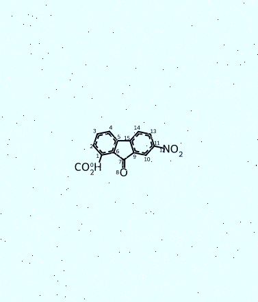 O=C(O)c1cccc2c1C(=O)c1cc([N+](=O)[O-])ccc1-2